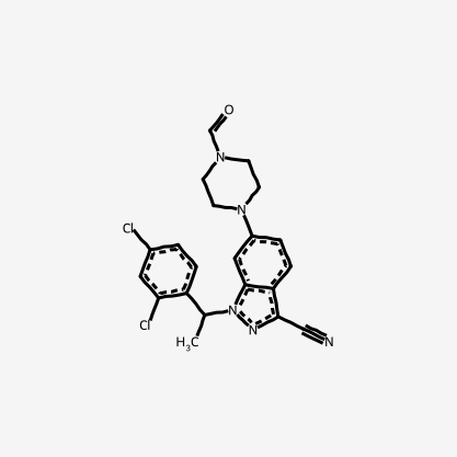 CC(c1ccc(Cl)cc1Cl)n1nc(C#N)c2ccc(N3CCN(C=O)CC3)cc21